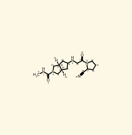 CNC(=O)N1C[C@H]2CC(NCC(=O)N3CCCC3C#N)C[C@H]2C1